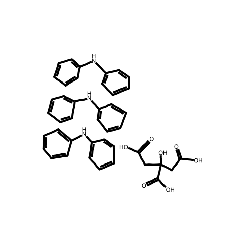 O=C(O)CC(O)(CC(=O)O)C(=O)O.c1ccc(Nc2ccccc2)cc1.c1ccc(Nc2ccccc2)cc1.c1ccc(Nc2ccccc2)cc1